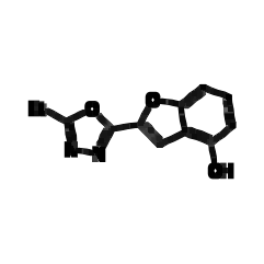 CCc1nnc(-c2cc3c(O)cccc3o2)o1